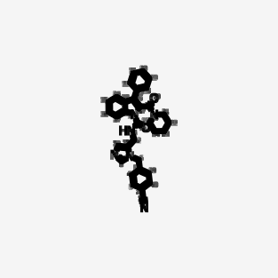 N#Cc1ccc(Cn2cncc2CNC(=O)n2c(C(=O)N3CCCCC3)c(-c3ccccc3)c3c[c]ccc32)cc1